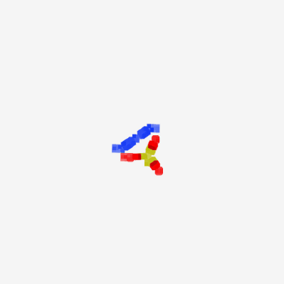 N=[N+]=N.O=[SH](=O)O